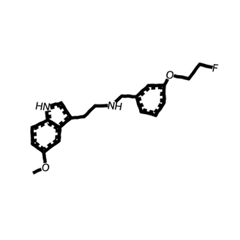 COc1ccc2[nH]cc(CCNCc3cccc(OCCF)c3)c2c1